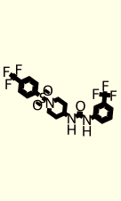 O=C(Nc1cccc(C(F)(F)F)c1)NC1CCN(S(=O)(=O)c2ccc(C(F)(F)F)cc2)CC1